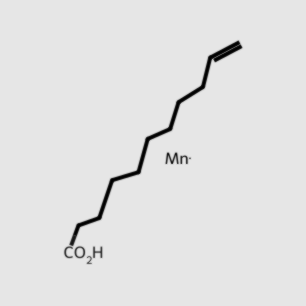 C=CCCCCCCCCC(=O)O.[Mn]